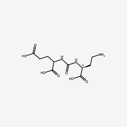 NCC[C@H](NC(=O)NC(CCC(=O)O)C(=O)O)C(=O)O